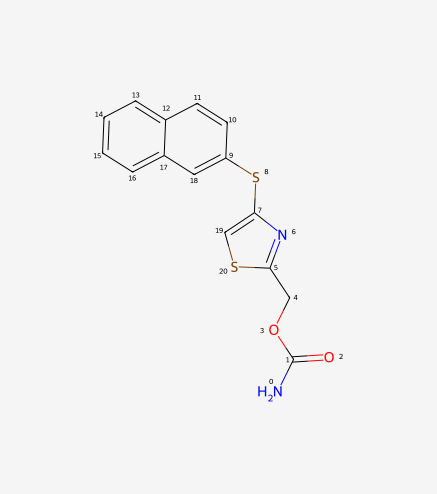 NC(=O)OCc1nc(Sc2ccc3ccccc3c2)cs1